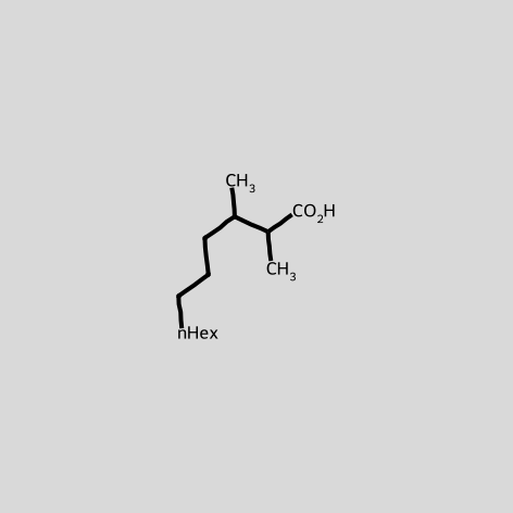 CCCCCCCCCC(C)C(C)C(=O)O